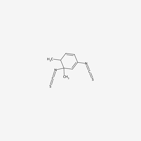 CC1C=CC(N=C=S)=CC1(C)N=C=S